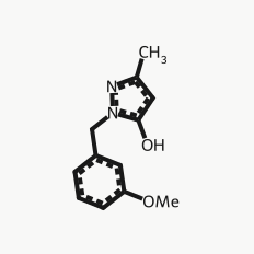 COc1cccc(Cn2nc(C)cc2O)c1